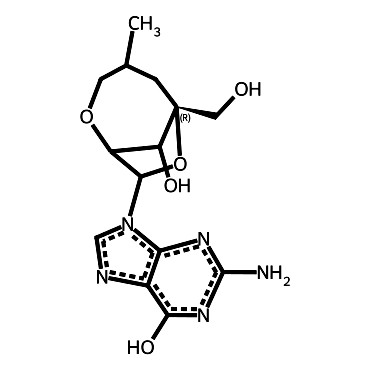 CC1COC2C(n3cnc4c(O)nc(N)nc43)O[C@@](CO)(C1)C2O